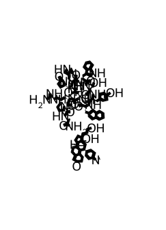 CC(C)C[C@H](NC(=O)[C@@H](Cc1ccc2ccccc2c1)NC(=O)[C@H](Cc1ccc(O)cc1)NC(=O)[C@H](CO)NC(=O)[C@H](Cc1c[nH]c2ccccc12)NC(=O)[C@H](Cc1c[nH]cn1)NC(=O)[C@@H]1CCC(=O)N1)C(=O)N[C@@H](CCCNC(=N)N)C(=O)N1CCC[C@H]1C(=O)NCC(N)=O.CN(C)c1ccc([C@H]2C[C@]3(C)[C@@H](CC[C@]3(O)CCCO)[C@@H]3CCC4=CC(=O)CCC4=C32)cc1